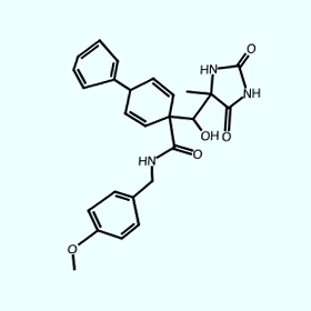 COc1ccc(CNC(=O)C2(C(O)C3(C)NC(=O)NC3=O)C=CC(c3ccccc3)C=C2)cc1